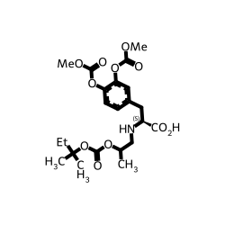 CCC(C)(C)OC(=O)OC(C)CN[C@@H](Cc1ccc(OC(=O)OC)c(OC(=O)OC)c1)C(=O)O